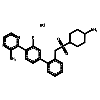 Cl.Nc1nccnc1-c1ccc(-c2ccccc2CS(=O)(=O)N2CCC(N)CC2)cc1F